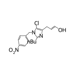 CCCCc1nc(CC=CO)c(Cl)n1Cc1ccc([N+](=O)[O-])cc1